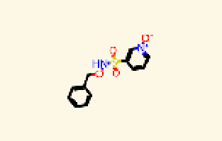 O=S(=O)(NOCc1ccccc1)c1ccc[n+]([O-])c1